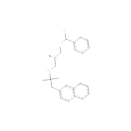 CCC(OC[C@H](O)CNC(C)(C)Cc1ccc2ccccc2c1)c1ccccc1